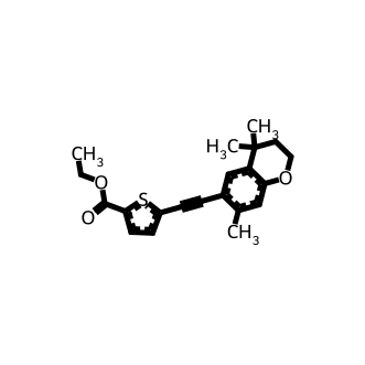 CCOC(=O)c1ccc(C#Cc2cc3c(cc2C)OCCC3(C)C)s1